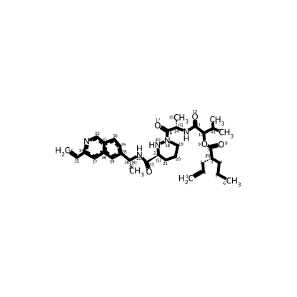 C=CC[C@@H](CCC)C(=O)OC(C(=O)N[C@@H](C)C(=O)N1CCC[C@@H](C(=O)N[C@H](C)c2ccc3cnc(C=C)cc3c2)N1)C(C)C